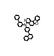 c1ccc(-c2cccc(N(c3ccc(-c4cccc5ccccc45)cc3)c3nccc4c3ccc3oc5ccccc5c34)c2)cc1